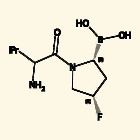 CC(C)C(N)C(=O)N1C[C@@H](F)C[C@H]1B(O)O